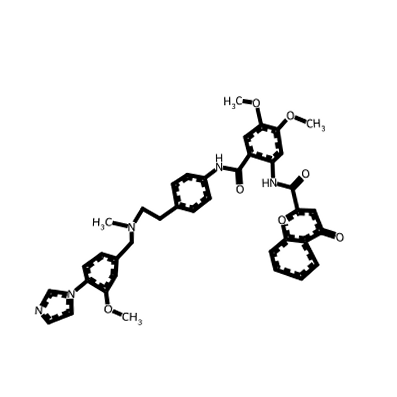 COc1cc(NC(=O)c2cc(=O)c3ccccc3o2)c(C(=O)Nc2ccc(CCN(C)Cc3ccc(-n4ccnc4)c(OC)c3)cc2)cc1OC